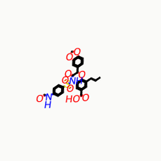 CCCc1cc(C(=O)O)ccc1OC(C(=O)NS(=O)(=O)c1ccc(NC=O)cc1)c1ccc2c(c1)OCO2